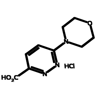 Cl.O=C(O)c1ccc(N2CCOCC2)nn1